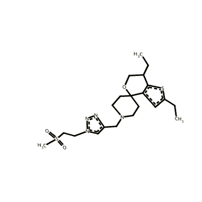 CCc1cc2c(s1)C(CC)COC21CCN(Cc2cn(CCS(C)(=O)=O)nn2)CC1